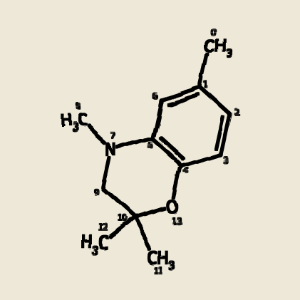 Cc1ccc2c(c1)N(C)CC(C)(C)O2